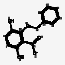 O=[N+]([O-])c1c(O)ccc(O)c1OCc1ccccc1